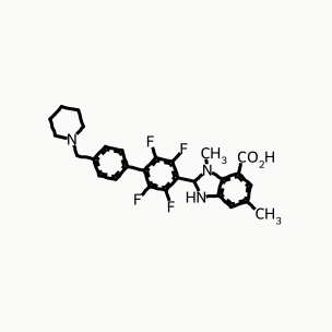 Cc1cc2c(c(C(=O)O)c1)N(C)C(c1c(F)c(F)c(-c3ccc(CN4CCCCC4)cc3)c(F)c1F)N2